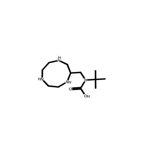 CC(C)(C)N(CC1CNCCNCCN1)C(=O)O